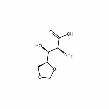 N[C@H](C(=O)O)[C@H](O)[C@@H]1COCO1